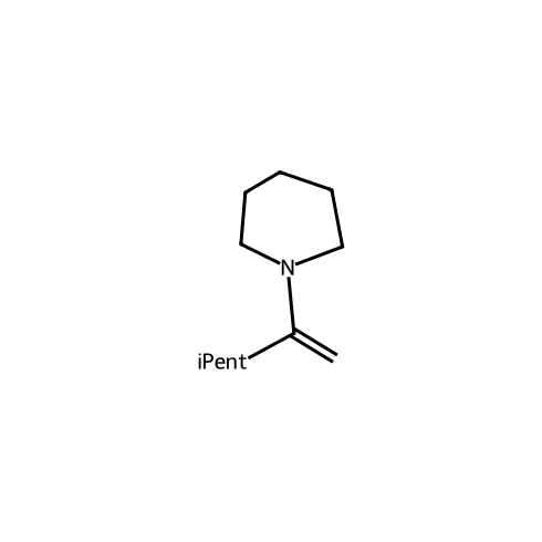 C=C(C(C)CCC)N1CCCCC1